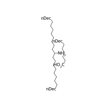 CCCCCCCCCCCCCCCC(=O)O.CCCCCCCCCCCCCCCCCCC(N)CCCCCCCCCCCCCCCCCC